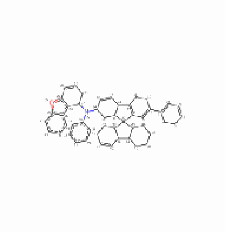 C1=CCCC(C2=CC3=C(CC2)C2C=CC(N(c4ccccc4)C4CC=Cc5oc6ccccc6c54)CC2C32C3CCC=CC3C3CCCCC32)=C1